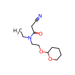 CCN(CCOC1CCCCO1)C(=O)CC#N